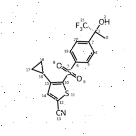 C[C@](O)(c1ccc(S(=O)(=O)c2sc(C#N)cc2C2CC2)cc1)C(F)(F)F